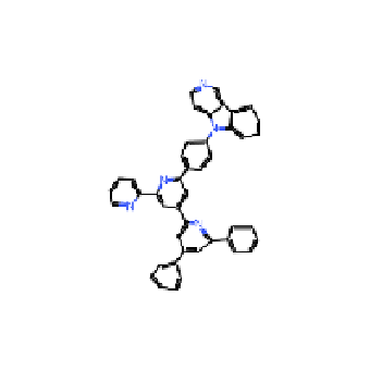 c1ccc(-c2cc(-c3ccccc3)nc(-c3cc(-c4ccc(-n5c6ccccc6c6cnccc65)cc4)nc(-c4ccccn4)c3)c2)cc1